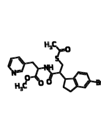 COC(=O)C(Cc1cccnc1)NC(=O)C(CSC(C)=O)C1CCc2cc(Br)ccc21